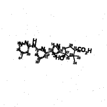 Cc1cnnc(Nc2cc(C)cc(-c3cnc([C@]4(O)CC[C@@H](C(=O)O)C(C)(C)C4)s3)n2)c1